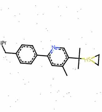 Cc1cc(-c2ccc(CC(C)C)cc2)ncc1C(C)(C)[SH]1CC1